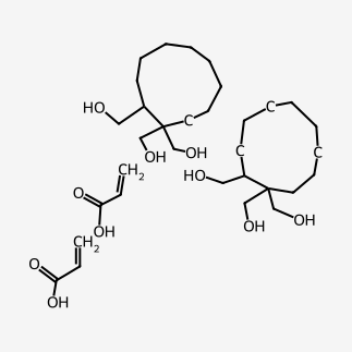 C=CC(=O)O.C=CC(=O)O.OCC1CCCCCCCCC1(CO)CO.OCC1CCCCCCCCC1(CO)CO